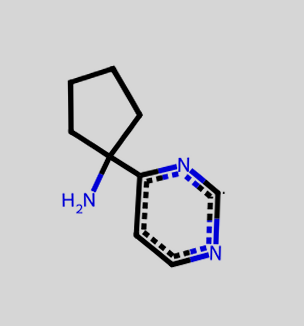 NC1(c2ccn[c]n2)CCCC1